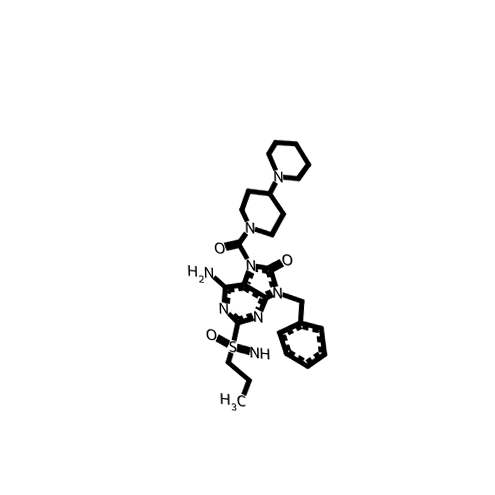 CCCS(=N)(=O)c1nc(N)c2c(n1)n(Cc1ccccc1)c(=O)n2C(=O)N1CCC(N2CCCCC2)CC1